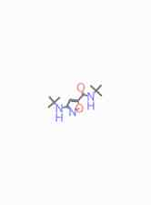 CC(C)(C)NC(=O)c1cc(NC(C)(C)C)no1